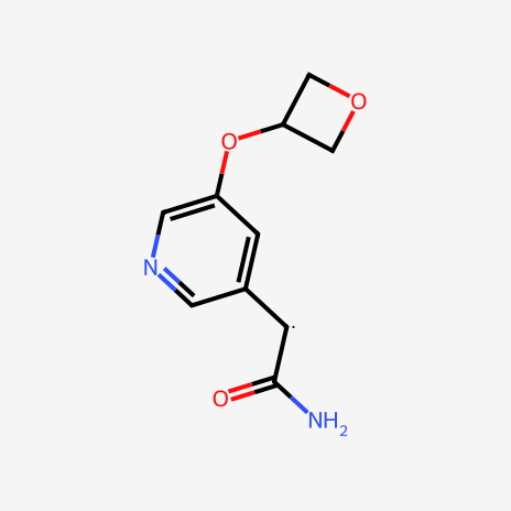 NC(=O)[CH]c1cncc(OC2COC2)c1